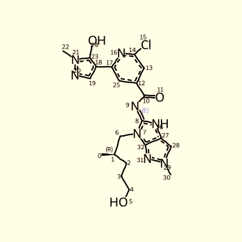 C[C@H](CCCO)Cn1/c(=N/C(=O)c2cc(Cl)nc(-c3cnn(C)c3O)c2)[nH]c2cn(C)nc21